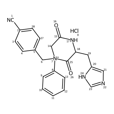 Cl.N#Cc1ccc(C[N+]2(c3ccccc3)CC(=O)NC(Cc3cnc[nH]3)C2=O)cc1